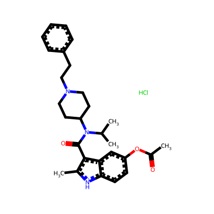 CC(=O)Oc1ccc2[nH]c(C)c(C(=O)N(C(C)C)C3CCN(CCc4ccccc4)CC3)c2c1.Cl